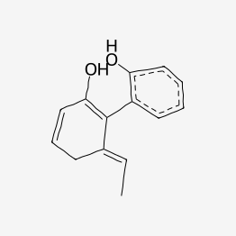 CC=C1CC=CC(O)=C1c1ccccc1O